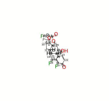 CCCCC(=O)O[C@@]1(C(=O)CF)[C@@H](C)C[C@H]2[C@@H]3C[C@H](F)C4=C(F)C(=O)C=C[C@]4(C)[C@H]3[C@@H](O)C[C@@]21C